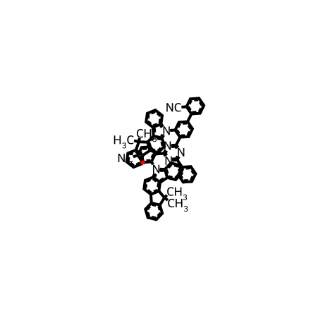 CC1(C)c2ccccc2-c2ccc3c(c21)c1ccccc1n3-c1cc(C#N)ccc1-c1nc(-c2ccccc2)nc(-c2ccc(-c3ccccc3C#N)cc2-n2c3ccccc3c3c4c(ccc32)-c2ccccc2C4(C)C)n1